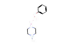 CC(=O)N1CCN(OBOc2ccccc2)CC1